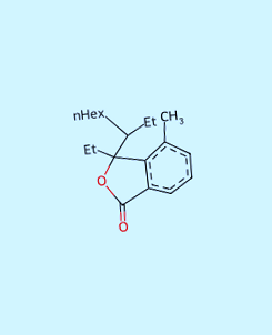 CCCCCCC(CC)C1(CC)OC(=O)c2cccc(C)c21